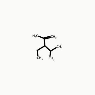 C=C(C)C(CC)C(C)C